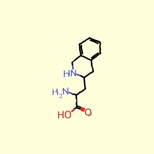 NC(CC1Cc2ccccc2CN1)C(=O)O